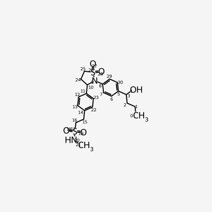 CCCC(O)c1ccc(N2C(c3ccc(CCS(=O)(=O)NC)cc3)CCS2(=O)=O)cc1